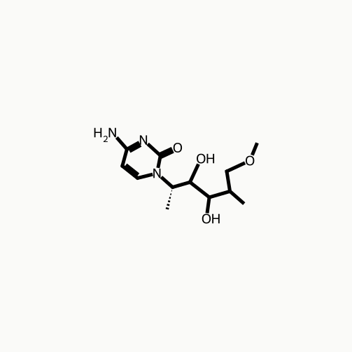 COCC(C)C(O)C(O)[C@H](C)n1ccc(N)nc1=O